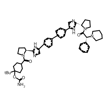 CC(C)(C)C1(OC(N)=O)CCC(C(=O)N2CCC[C@H]2c2ncc(-c3ccc(-c4ccc(-c5cnc([C@@H]6CCCN6C(=O)[C@@H](c6ccccc6)N6CCCCC6)[nH]5)cc4)cc3)[nH]2)CC1